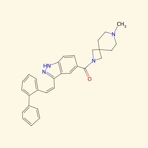 CN1CCC2(CC1)CN(C(=O)c1ccc3[nH]nc(/C=C\c4ccccc4-c4ccccc4)c3c1)C2